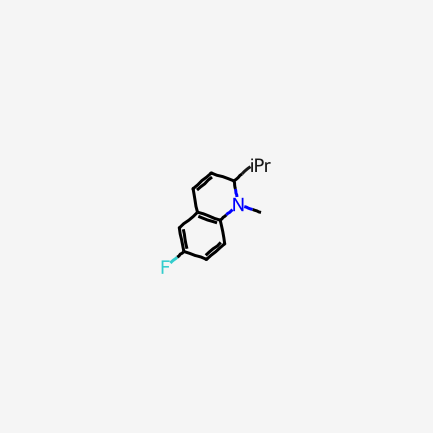 CC(C)C1C=Cc2cc(F)ccc2N1C